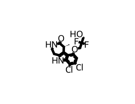 C[C@H]1C(=O)NCCc2[nH]c3c(Cl)c(Cl)cc(OCC(F)(F)CO)c3c21